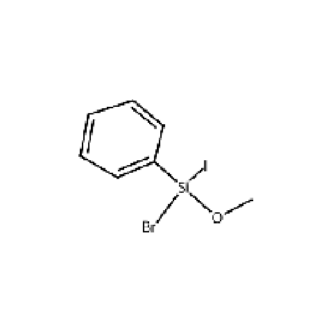 CO[Si](Br)(I)c1ccccc1